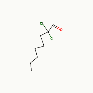 CCCCCCC(Cl)(Cl)C=O